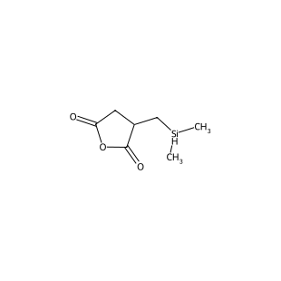 C[SiH](C)CC1CC(=O)OC1=O